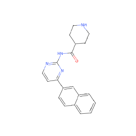 O=C(Nc1nccc(-c2ccc3ccccc3c2)n1)C1CCNCC1